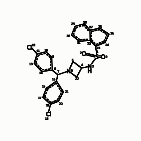 O=S(=O)(NC1CN(C(c2ccc(Cl)cc2)c2ccc(Cl)cc2)C1)c1cccc2ccccc12